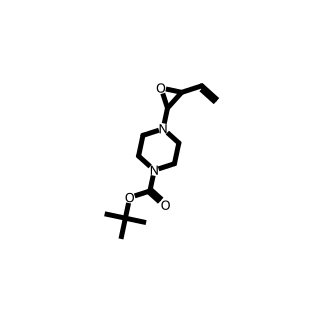 C=CC1OC1N1CCN(C(=O)OC(C)(C)C)CC1